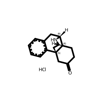 Cl.O=C1CC[C@H]2[C@H]3Cc4ccccc4[C@@]2(CCN3)C1